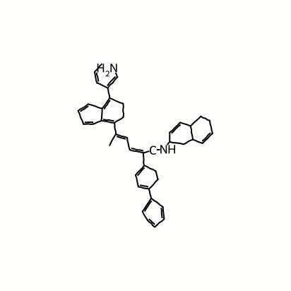 C/C=C\C(=C/N)C1=c2ccccc2=C(/C(C)=C/C=C(\CNC2C=CC3CCC=CC3C2)C2=CC=C(c3ccccc3)CC2)CC1